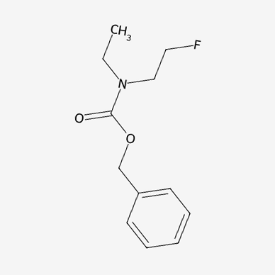 CCN(CCF)C(=O)OCc1ccccc1